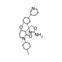 Cc1ccc(-n2ccc3c(c2=O)C2(COC(N)=N2)c2cc(-c4cccnc4)ccc2O3)cc1